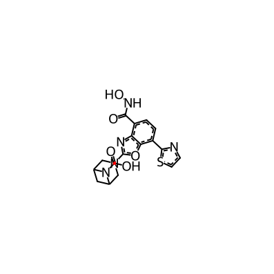 O=C(NO)c1ccc(-c2nccs2)c2oc(N3CC4CC(C3)N4C(=O)O)nc12